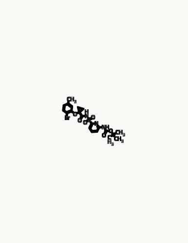 Cc1ccc(Br)c(OC2(C(=O)NS(=O)(=O)c3cccc(NC(=O)OC(C)(C)C)n3)CC2)c1